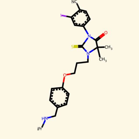 CC(C)NCc1ccc(OCCCN2C(=S)N(c3ccc(C#N)c(I)c3)C(=O)C2(C)C)cc1